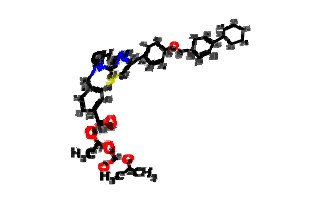 CC(C)OC(=O)OC(C)OC(=O)c1ccc(CN(C)c2nc(-c3ccc(OCc4ccc(C5CCCCC5)cc4)cc3)cs2)cc1